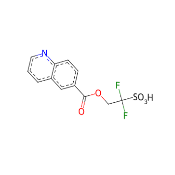 O=C(OCC(F)(F)S(=O)(=O)O)c1ccc2ncccc2c1